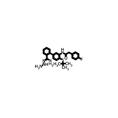 CC(C)(C)Sc1ccc(-c2ccccc2/C(N)=N/NN)cc1NC(=O)Cc1ccc(F)cc1